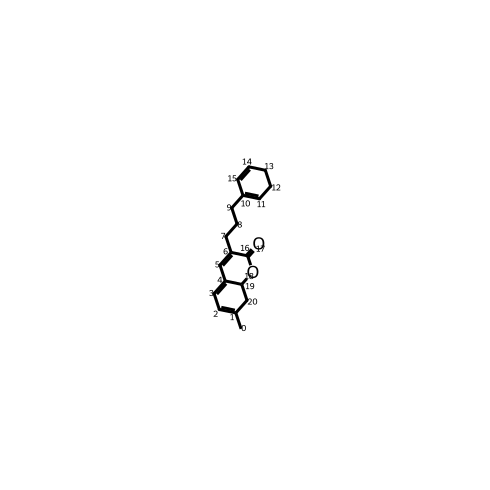 CC1=CC=C2C=C(CCCC3=CCCC=C3)C(=O)OC2C1